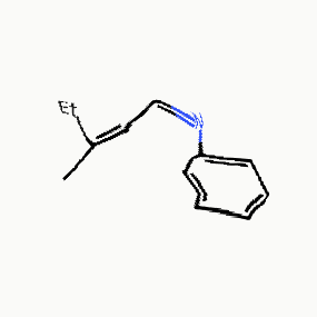 CC/C(C)=C\C=N/c1ccccc1